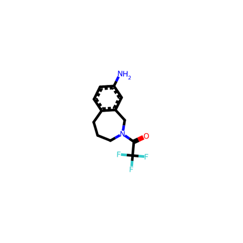 Nc1ccc2c(c1)CN(C(=O)C(F)(F)F)CCC2